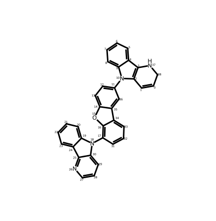 C1=Cc2c(c3ccccc3n2-c2ccc3oc4c(-n5c6ccccc6c6ncccc65)cccc4c3c2)NC1